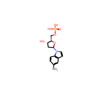 O=[N+]([O-])c1ccc2c(ccn2[C@H]2C[C@H](O)[C@@H](COP(=O)(O)O)O2)c1